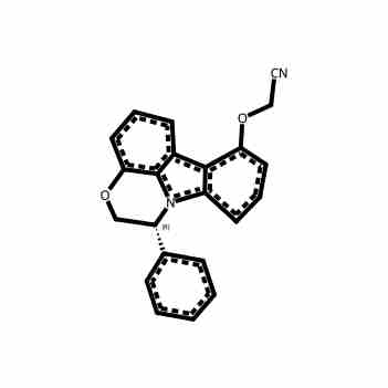 N#CCOc1cccc2c1c1cccc3c1n2[C@H](c1ccccc1)CO3